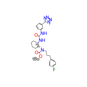 Cn1nnnc1-c1cccc(NC(=O)N[C@@H]2CCCC[C@H]2CN(CCCc2ccc(F)cc2)C(=O)OC(C)(C)C)c1